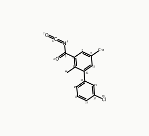 Cc1c(C(=O)N=C=O)cc(F)cc1-c1cccc(Cl)c1